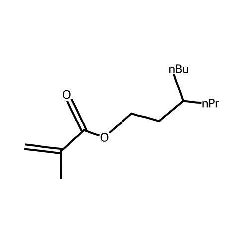 C=C(C)C(=O)OCCC(CCC)CCCC